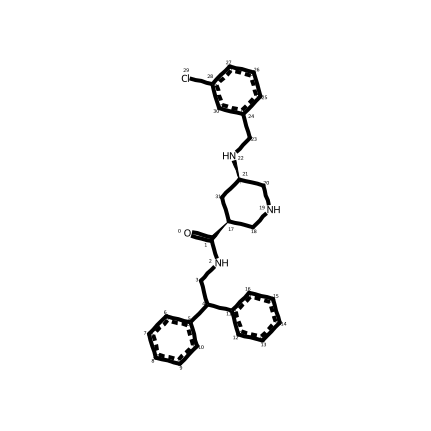 O=C(NCC(c1ccccc1)c1ccccc1)[C@@H]1CNC[C@H](NCc2cccc(Cl)c2)C1